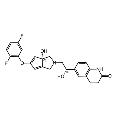 O=C1CCc2cc([C@H](O)CN3CC4=CC(Oc5cc(F)ccc5F)=C[C@@]4(O)C3)ccc2N1